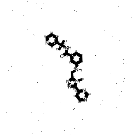 Cn1c(CNc2cccc(C(=O)NC(C)(C)c3cccnc3)c2)nnc1-c1ccncn1